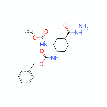 CC(C)(C)OC(=O)N[C@@H]1C[C@@H](C(=O)NN)CC[C@@H]1NC(=O)OCc1ccccc1